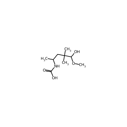 COC(O)C(C)(C)CC(C)NC(=O)O